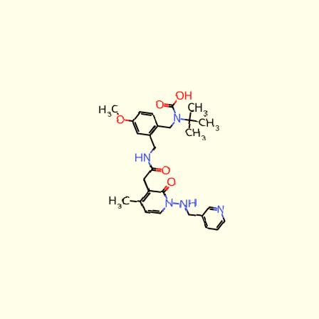 COc1ccc(CN(C(=O)O)C(C)(C)C)c(CNC(=O)Cc2c(C)ccn(NCc3cccnc3)c2=O)c1